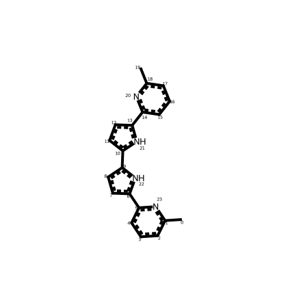 Cc1cccc(-c2ccc(-c3ccc(-c4cccc(C)n4)[nH]3)[nH]2)n1